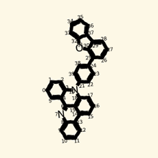 c1ccc2c(c1)-c1nc3ccccc3c3cccc(c13)N2c1ccc(-c2cccc3c2oc2ccccc23)cc1